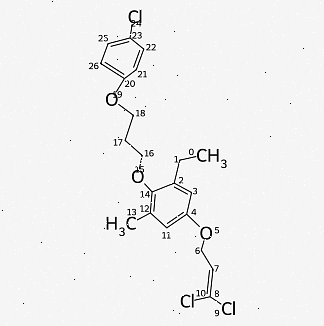 CCc1cc(OCC=C(Cl)Cl)cc(C)c1OCCCOc1ccc(Cl)cc1